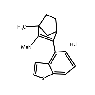 CNC1=C(c2cccc3sccc23)C2CCC1(C)C2.Cl